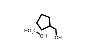 O=C(O)O.OCC1CCCC1